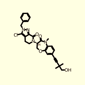 CN1C(=O)[C@H](N2CCc3c(nn(Cc4ccccc4)c3Cl)C2=O)COc2cc(C#CC(C)(C)CO)ccc21